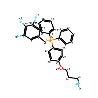 Fc1cc(C[PH](c2ccccc2)(c2ccccc2)c2ccc(OCCC[18F])cc2)cc(F)c1F